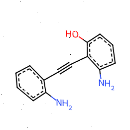 Nc1ccccc1C#Cc1c(N)cccc1O